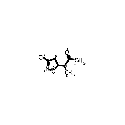 CC(=O)C(C)C1CC(Cl)=NO1